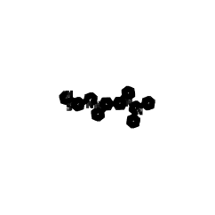 c1ccc(-c2cc(-n3c4ccccc4c4cc(-c5ccc6c(c5)c5ccccc5n6-c5cccc(-c6ccc7sc8cccnc8c7c6)n5)ccc43)cc(-c3ccccc3)n2)cc1